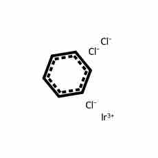 [Cl-].[Cl-].[Cl-].[Ir+3].c1ccccc1